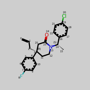 C=CC[C@@]1(c2ccc(F)cc2)CCN([C@@H](C)c2ccc(Cl)cc2)C(=O)C1